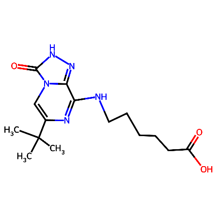 CC(C)(C)c1cn2c(=O)[nH]nc2c(NCCCCCC(=O)O)n1